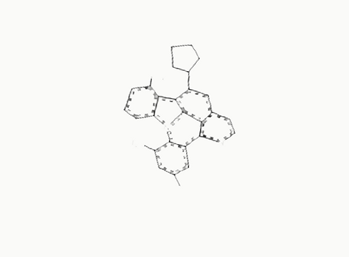 Cc1cc(C)c2c(c1)c1nccc3cc(C4CCCC4)c4c5c(C)cccc5n2c4c31